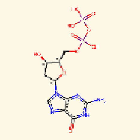 Nc1nc2c(ncn2[C@H]2C[C@@H](O)[C@@H](COP(=O)(O)OP(=O)(O)O)O2)c(=O)[nH]1